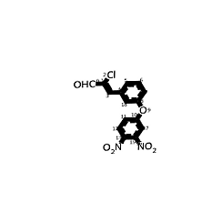 O=CC(Cl)=Cc1cccc(Oc2ccc([N+](=O)[O-])c([N+](=O)[O-])c2)c1